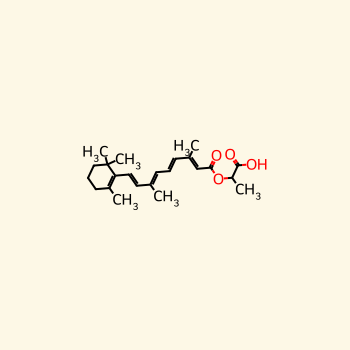 CC(C=CC1=C(C)CCCC1(C)C)=CC=CC(C)=CC(=O)OC(C)C(=O)O